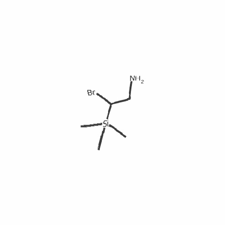 C[Si](C)(C)C(Br)CN